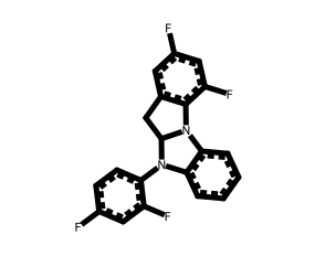 Fc1ccc(N2c3ccccc3N3c4c(F)cc(F)cc4CC23)c(F)c1